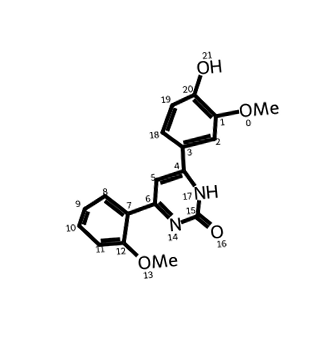 COc1cc(-c2cc(-c3ccccc3OC)nc(=O)[nH]2)ccc1O